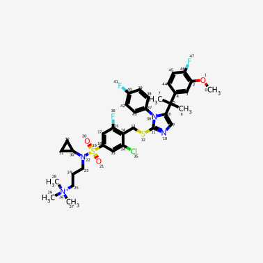 COc1cc(C(C)(C)c2cnc(SCc3c(F)cc(S(=O)(=O)N(CCC[N+](C)(C)C)C4CC4)cc3Cl)n2-c2ccc(F)cc2)ccc1F